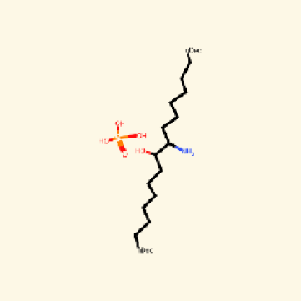 CCCCCCCCCCCCCCCCC(N)C(O)CCCCCCCCCCCCCCCC.O=P(O)(O)O